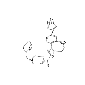 O=C(c1nc2c(s1)CCOc1cc(-c3cn[nH]c3)ccc1-2)N1CCN(CC2CCCO2)CC1